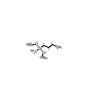 CCCCO[Si](C)(CCCO)OCCCC